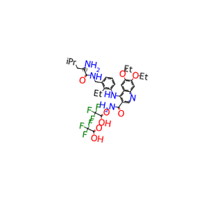 CCOc1cc2ncc(C(N)=O)c(Nc3cccc(CNC(=O)[C@H](N)CC(C)C)c3CC)c2cc1OCC.O=C(O)C(F)(F)F.O=C(O)C(F)(F)F